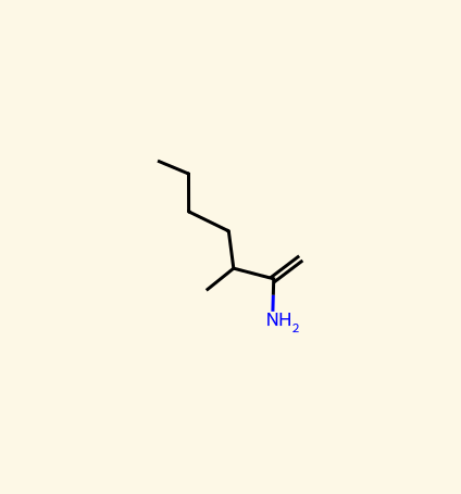 C=C(N)C(C)CCCC